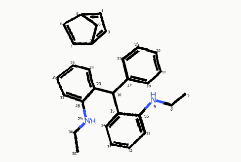 C1=CC2=CC=C1C2.CCNc1ccccc1C(c1ccccc1)c1ccccc1NCC